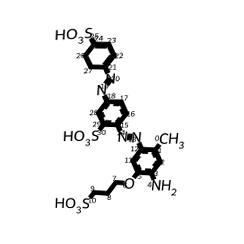 Cc1cc(N)c(OCCCS(=O)(=O)O)cc1N=Nc1ccc(N=NC2=CC=C(S(=O)(=O)O)CC2)cc1S(=O)(=O)O